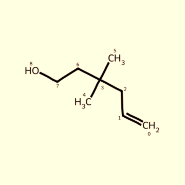 C=CCC(C)(C)CCO